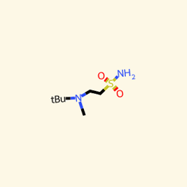 CN(CCS(N)(=O)=O)C(C)(C)C